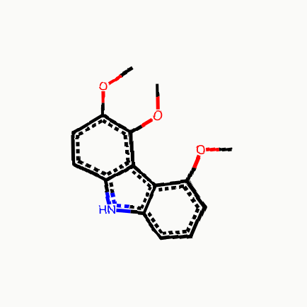 COc1ccc2[nH]c3cccc(OC)c3c2c1OC